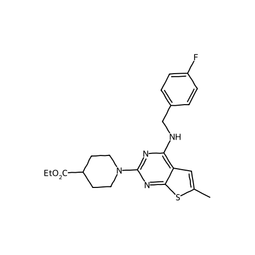 CCOC(=O)C1CCN(c2nc(NCc3ccc(F)cc3)c3cc(C)sc3n2)CC1